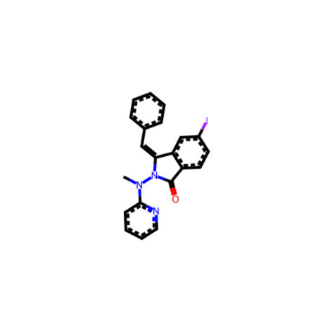 CN(c1ccccn1)N1C(=O)c2ccc(I)cc2C1=Cc1ccccc1